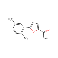 COC(=O)c1ccc(-c2cc(C)ccc2C)o1